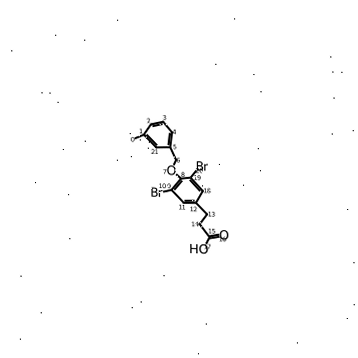 Cc1cccc(COc2c(Br)cc(CCC(=O)O)cc2Br)c1